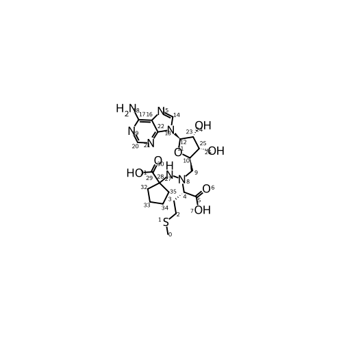 CSCC[C@@H](C(=O)O)N(C[C@H]1O[C@@H](n2cnc3c(N)ncnc32)[C@H](O)[C@@H]1O)NC1(C(=O)O)CCCC1